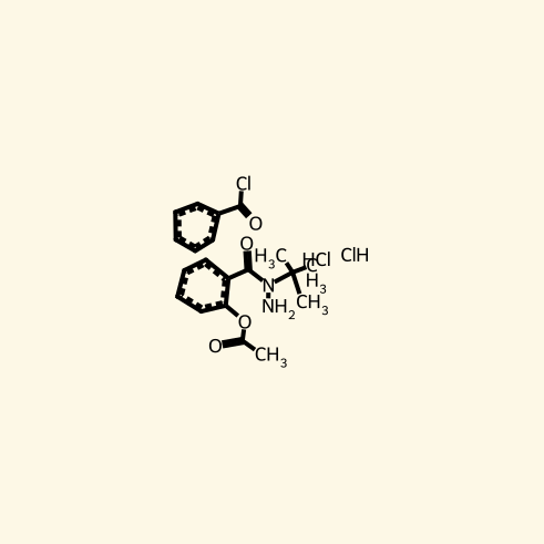 CC(=O)Oc1ccccc1C(=O)N(N)C(C)(C)C.Cl.Cl.O=C(Cl)c1ccccc1